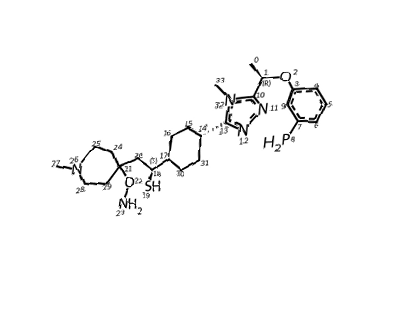 C[C@@H](Oc1cccc(P)c1)c1nnc([C@H]2CC[C@H]([C@@H](S)CC3(ON)CCN(C)CC3)CC2)n1C